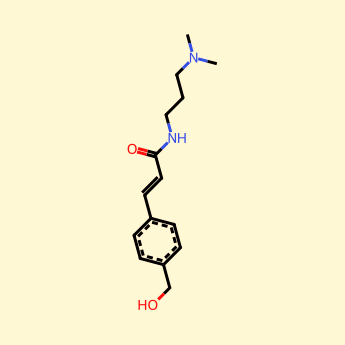 CN(C)CCCNC(=O)/C=C/c1ccc(CO)cc1